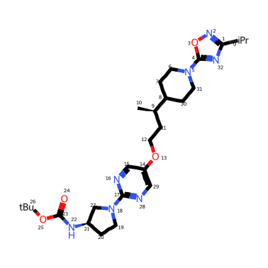 CC(C)c1noc(N2CCC([C@H](C)CCOc3cnc(N4CC[C@@H](NC(=O)OC(C)(C)C)C4)nc3)CC2)n1